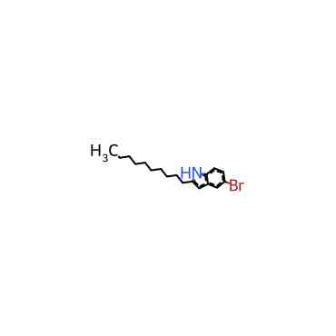 CCCCCCCCCCc1cc2cc(Br)ccc2[nH]1